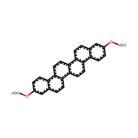 CCCCCCCCOc1ccc2c(ccc3c2ccc2c4ccc5cc(OCCCCCCCC)ccc5c4ccc32)c1